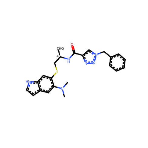 CN(C)c1cc2cc[nH]c2cc1SC[C@@H](C=O)NC(=O)c1cn(Cc2ccccc2)nn1